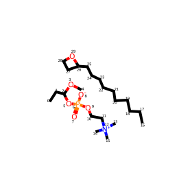 CCC(OC)OP(=O)([O-])OCC[N+](C)(C)C.CCCCCCCCCCC1CCO1